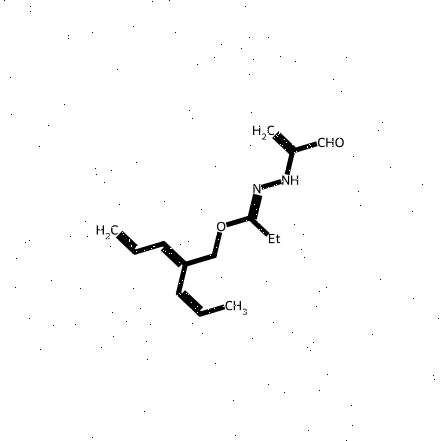 C=C/C=C(\C=C/C)CO/C(CC)=N/NC(=C)C=O